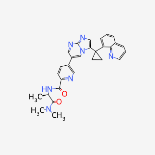 C[C@@H](NC(=O)c1ccc(-c2cnc3ncc(C4(c5cccc6cccnc56)CC4)n3c2)cn1)C(=O)N(C)C